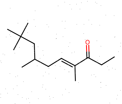 CCC(=O)/C(C)=C/CC(C)CC(C)(C)C